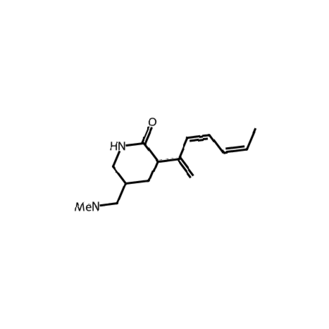 C=C(/C=C\C=C/C)C1CC(CNC)CNC1=O